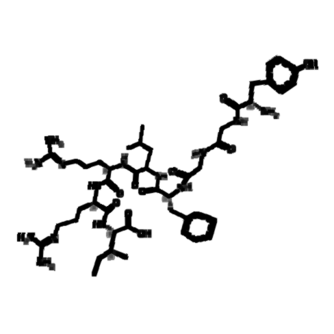 CC[C@H](C)[C@H](NC(=O)[C@@H](CCCN=C(N)N)NC(=O)[C@@H](CCCN=C(N)N)NC(=O)C(CC(C)C)NC(=O)[C@@H](Cc1ccccc1)NC(=O)CNC(=O)CNC(=O)[C@@H](N)Cc1ccc(O)cc1)C(=O)O